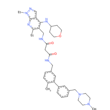 CCc1nc2c(cnn2CC)c(NC2CCOCC2)c1CNC(=O)CC(=O)NCc1ccc(C)c(-c2cccc(CN3CCN(C)CC3)c2)c1